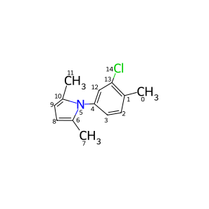 Cc1ccc(-n2c(C)ccc2C)cc1Cl